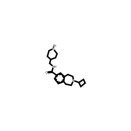 CC(=O)N1CCC(CNC(=O)c2ccc3c(c2)CCN(C2CCC2)CC3)CC1